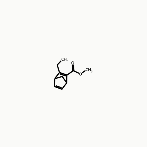 CCC1=C(C(=O)OC)C2C=CC1C2